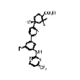 CC1(C)CC(O)(c2ccc(-c3cc(F)cc(Nc4nccc(C(F)(F)F)n4)c3)cn2)CCC1C(=O)O